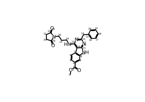 COC(=O)c1ccc2c(c1)[nH]c1nc(Cc3ccccc3)nc(NCCCN3C(=O)CCC3=O)c12